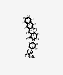 CC(C)(C)[Si](C)(C)O[C@H]1CC[C@H](N2CCCC(Cc3cc4ccccc4cc3Cl)C2=O)CC1